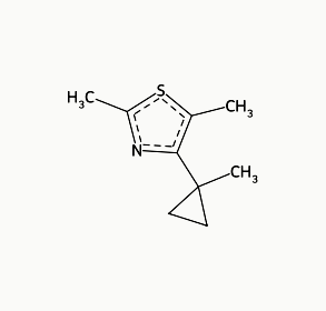 Cc1nc(C2(C)CC2)c(C)s1